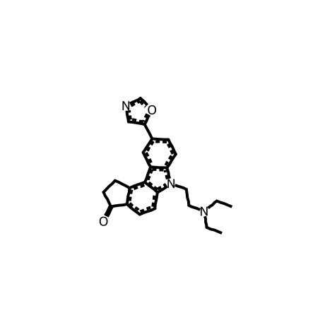 CCN(CC)CCn1c2ccc(-c3cnco3)cc2c2c3c(ccc21)C(=O)CC3